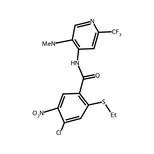 CCSc1cc(Cl)c([N+](=O)[O-])cc1C(=O)Nc1cc(C(F)(F)F)ncc1NC